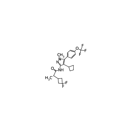 C[C@H](C(=O)Nc1nn(C)c(-c2ccc(OC(F)(F)F)cc2)c1C1CCC1)C1CC(F)(F)C1